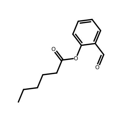 CCCCCC(=O)Oc1ccccc1C=O